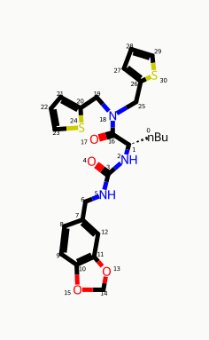 CCCC[C@H](NC(=O)NCc1ccc2c(c1)OCO2)C(=O)N(Cc1cccs1)Cc1cccs1